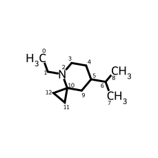 CCN1CCC(C(C)C)CC12CC2